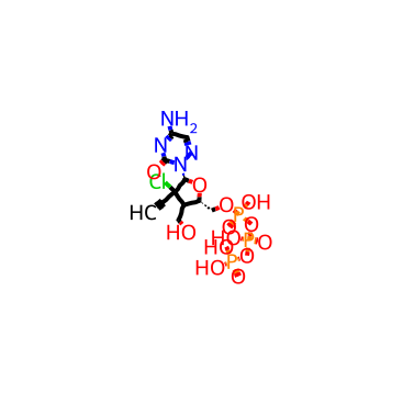 C#CC1(Cl)C(CO)[C@@H](COP(=O)(O)OP(=O)(O)OP(=O)(O)O)O[C@H]1n1ncc(N)nc1=O